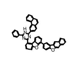 c1ccc(C2=NC(c3cccc4oc5c(-c6ccc7oc8cc9ccccc9cc8c7c6)cccc5c34)=NC(c3ccc4ccc5ccccc5c4c3)N2)cc1